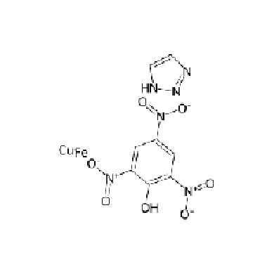 O=[N+]([O-])c1cc([N+](=O)[O-])c(O)c([N+](=O)[O-])c1.[Cu].[Fe].c1c[nH]nn1